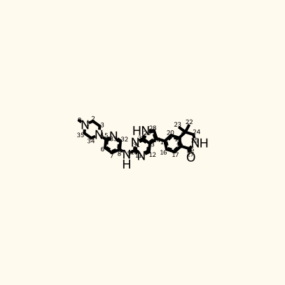 CN1CCN(c2ccc(Nc3ncc4c(-c5ccc6c(c5)C(C)(C)CNC6=O)c[nH]c4n3)cn2)CC1